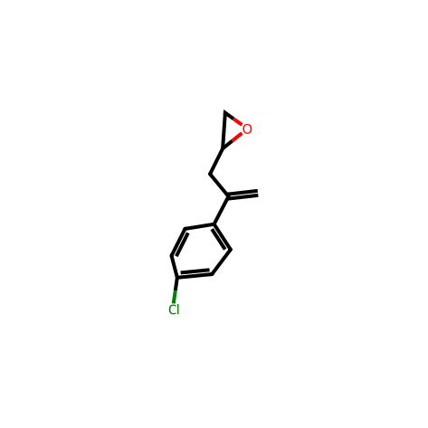 C=C(CC1CO1)c1ccc(Cl)cc1